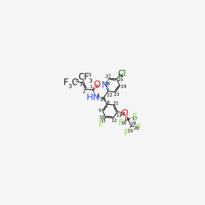 O=C(C=C(C(F)(F)F)C(F)(F)F)N[C@@H](c1cc(F)cc(OC(F)(F)C(F)F)c1)c1ccc(Cl)cn1